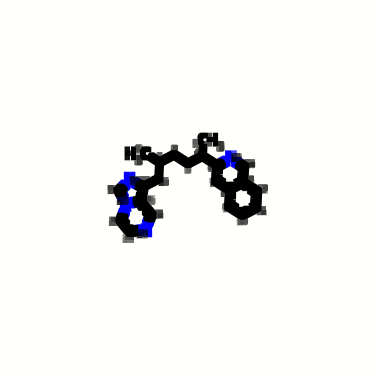 CC(CCC(C)c1cc2ccccc2cn1)Cc1ncn2ccncc12